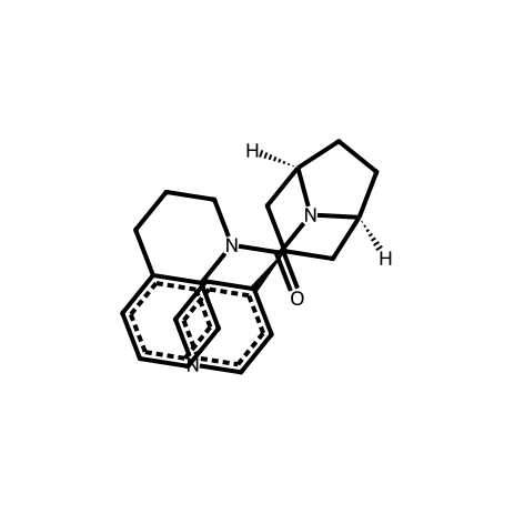 O=C(N1CCCc2ccccc21)N1[C@@H]2CC[C@H]1C[C@@H](c1ccncc1)C2